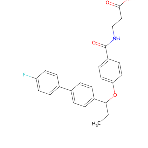 CCC(Oc1ccc(C(=O)NCCC(=O)O)cc1)c1ccc(-c2ccc(F)cc2)cc1